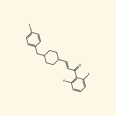 O=C(C=CN1CCN(Cc2ccc(F)cc2)CC1)c1c(F)cccc1F